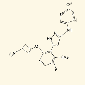 COc1c(F)ccc(OC2CC(N)C2)c1-c1cc(Nc2cnc(C#N)cn2)n[nH]1